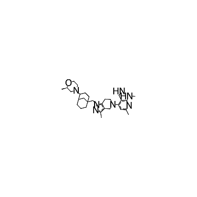 CNc1nc(C)cc(N2CCc3c(c(C)nn3CC34CCCC(C3)C(N3CCO[C@H](C)C3)CC4)C2)c1C=N